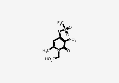 Cc1cc(OS(=O)(=O)C(F)(F)F)c([N+](=O)[O-])c(=O)n1CC(=O)O